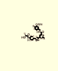 COc1cc(CNC(=O)c2cc(C3=NO[C@H]([C@H]4CC[C@H](NC(=O)[C@H](C)O)CC4)C3)nc(C)n2)ccc1F